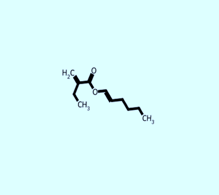 C=C(CC)C(=O)OC=CCCCC